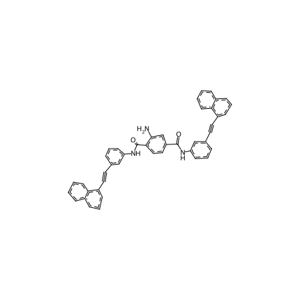 Nc1cc(C(=O)Nc2cccc(C#Cc3cccc4ccccc34)c2)ccc1C(=O)Nc1cccc(C#Cc2cccc3ccccc23)c1